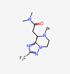 CC(C)N1CCn2nc(C(F)(F)F)nc2C1CC(=O)N(C)C